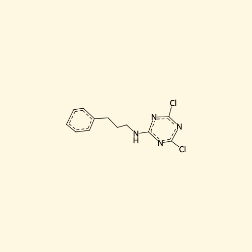 Clc1nc(Cl)nc(NCCCc2ccccc2)n1